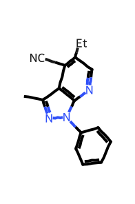 CCc1cnc2c(c(C)nn2-c2ccccc2)c1C#N